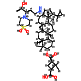 C[C@@H](O)[C@@H](CCN[C@]12CC[C@@H](C3(C)CC3)[C@@H]1[C@H]1CC[C@@H]3[C@@]4(C)CC[C@H](OC(=O)[C@@H]5C[C@H](C(=O)O)C5(C)C)C(C)(C)[C@@H]4CC[C@@]3(C)[C@]1(C)CC2)N1CCS(=O)(=O)CC1